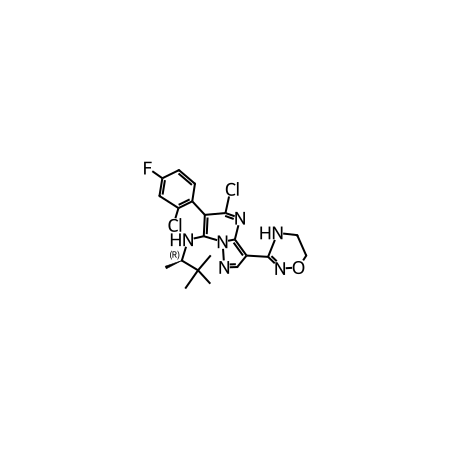 C[C@@H](Nc1c(-c2ccc(F)cc2Cl)c(Cl)nc2c(C3=NOCCN3)cnn12)C(C)(C)C